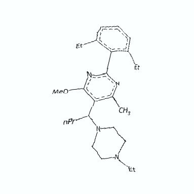 CCCC(c1c(C)nc(-c2c(CC)cccc2CC)nc1OC)N1CCN(CC)CC1